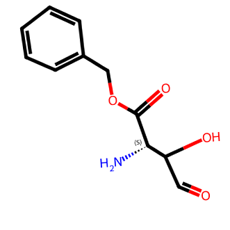 N[C@H](C(=O)OCc1ccccc1)C(O)C=O